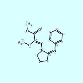 COC(=O)C(=CN1CCCC1=Nc1ccccc1)OC